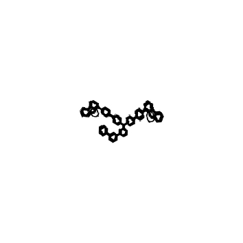 c1ccc(-c2cccc(-c3cccc(C(c4ccc(-c5ccc(-c6cccc7c6oc6ccccc67)cc5)cc4)c4ccc(-c5ccc(-c6cccc7c6oc6ccccc67)cc5)cc4)c3)c2)cc1